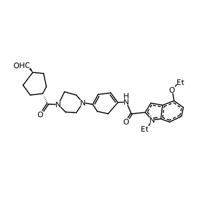 CCOc1cccc2c1cc(C(=O)NC1=CC=C(N3CCN(C(=O)[C@H]4CC[C@H](C=O)CC4)CC3)CC1)n2CC